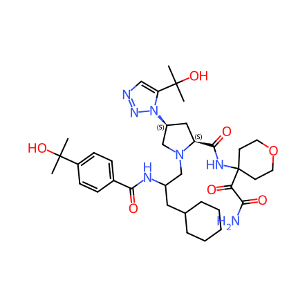 CC(C)(O)c1ccc(C(=O)NC(CC2CCCCC2)CN2C[C@@H](n3nncc3C(C)(C)O)C[C@H]2C(=O)NC2(C(=O)C(N)=O)CCOCC2)cc1